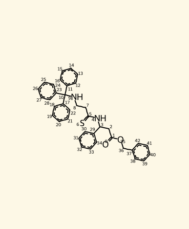 O=C(CC(NC(=S)CCNC(c1ccccc1)(c1ccccc1)c1ccccc1)c1ccccc1)OCc1ccccc1